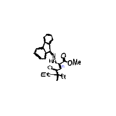 CCC(C)(CC)C(=O)/C=C(\NN=C1c2ccccc2-c2ccccc21)C(=O)OC